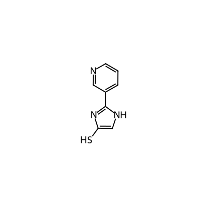 Sc1c[nH]c(-c2cccnc2)n1